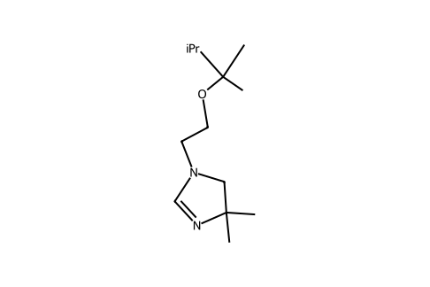 CC(C)C(C)(C)OCCN1C=NC(C)(C)C1